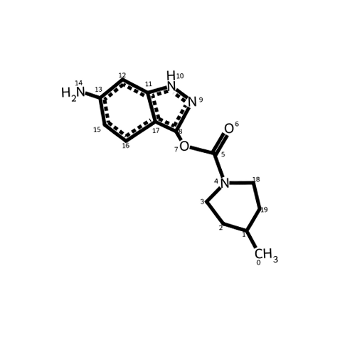 CC1CCN(C(=O)Oc2n[nH]c3cc(N)ccc23)CC1